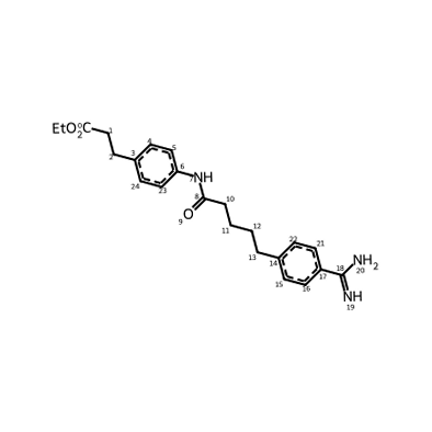 CCOC(=O)CCc1ccc(NC(=O)CCCCc2ccc(C(=N)N)cc2)cc1